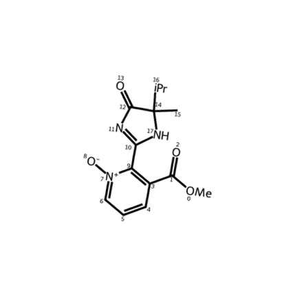 COC(=O)c1ccc[n+]([O-])c1C1=NC(=O)C(C)(C(C)C)N1